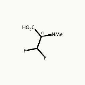 CN[C@H](C(=O)O)C(F)F